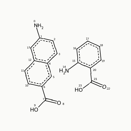 Nc1ccc2cc(C(=O)O)ccc2c1.Nc1ccccc1C(=O)O